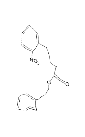 O=C(CCCc1ccccc1[N+](=O)[O-])OCc1ccccc1